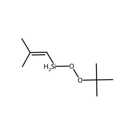 CC(C)=C[SiH2]OOC(C)(C)C